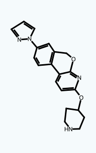 c1cnn(-c2ccc3c(c2)COc2nc(OC4CCNCC4)ccc2-3)c1